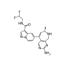 C[C@@H]1C=C(c2ccn3ncc(C(=O)NCC(F)F)c3c2)c2cnc(N)nc2CN1